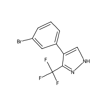 FC(F)(F)c1n[nH]cc1-c1cccc(Br)c1